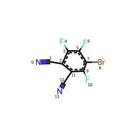 N#Cc1c(F)c(F)c(Br)c(F)c1C#N